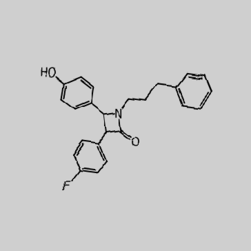 O=C1C(c2ccc(F)cc2)C(c2ccc(O)cc2)N1CCCc1ccccc1